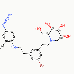 [N-]=[N+]=Nc1ccc(NCCc2cc(Br)cc(CCN3C[C@H](O)[C@@H](O)[C@H](O)[C@H]3CO)c2)c([N+](=O)[O-])c1